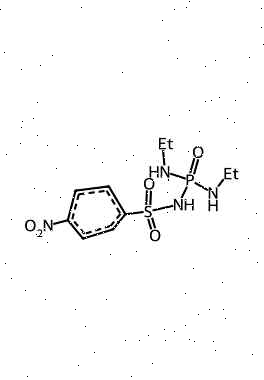 CCNP(=O)(NCC)NS(=O)(=O)c1ccc([N+](=O)[O-])cc1